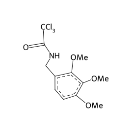 COc1ccc(CNC(=O)C(Cl)(Cl)Cl)c(OC)c1OC